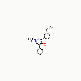 CC(C)Cc1cccc(-c2cn(C)cc(-c3ccccc3)c2=O)c1